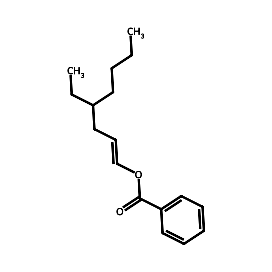 CCCCC(CC)CC=COC(=O)c1ccccc1